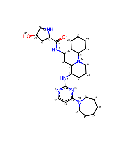 O=C(NCCC1C(Nc2nccc(N3CCCCCC3)n2)CCCN1C1CCCCC1)[C@@H]1C[C@@H](O)CN1